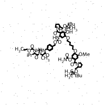 C=CCOC(=O)NC(C(=O)NC(C)C(=O)Nc1ccc(COC(=O)Nc2cc(OCCCCCOc3cc(OC(N)=O)c(C(=O)N4CCCC4CO[Si](C)(C)C(C)(C)C)cc3OC)c(O)cc2C(=O)N2CCCC2CO[Si](C)(C)C(C)(C)C)cc1)C(C)C